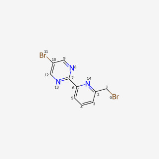 BrCc1cccc(-c2ncc(Br)cn2)n1